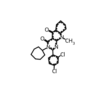 Cn1c2ccccc2c(=O)c2c(=O)n(C3CCCCCC3)c(-c3ccc(Cl)cc3Cl)nc21